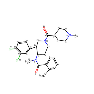 COc1ccccc1C(=O)N(C)C1CCN(C(=O)C2CCN(C(C)=O)CC2)CC1c1ccc(Cl)c(Cl)c1